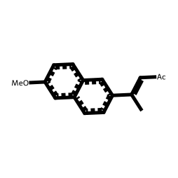 COc1ccc2cc(C(C)=CC(C)=O)ccc2c1